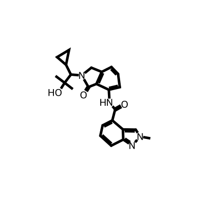 Cn1cc2c(C(=O)Nc3cccc4c3C(=O)N(C(C3CC3)C(C)(C)O)C4)cccc2n1